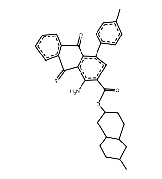 Cc1ccc(-c2cc(C(=O)OC3CCC4CC(C)CCC4C3)c(N)c3c2C(=O)c2ccccc2C3=S)cc1